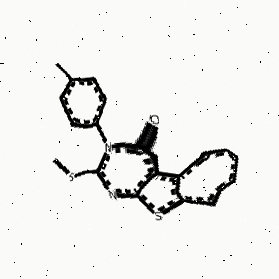 CSc1nc2sc3ccccc3c2c(=O)n1-c1ccc(C)cc1